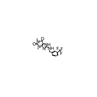 Cn1c(=O)c2[nH]c(NCc3cccc(C(F)(F)F)c3)nc2n(C)c1=O